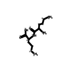 CSCC[C@H](NC(=O)C(N)CCCN)C(=O)O